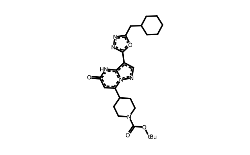 CC(C)(C)OC(=O)N1CCC(c2cc(=O)[nH]c3c(-c4nnc(CC5CCCCC5)o4)cnn23)CC1